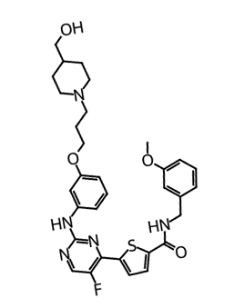 COc1cccc(CNC(=O)c2ccc(-c3nc(Nc4cccc(OCCCN5CCC(CO)CC5)c4)ncc3F)s2)c1